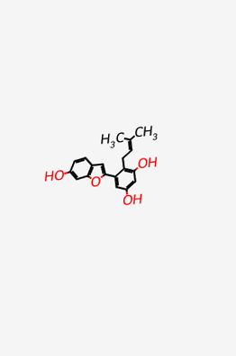 CC(C)=CCc1c(O)cc(O)cc1-c1cc2ccc(O)cc2o1